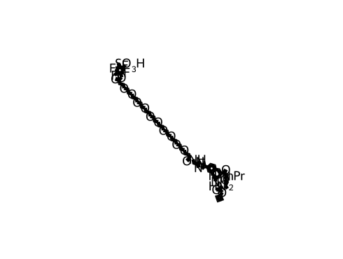 CCCN(OCC(C)NC(=O)OC1CCC1)C(=O)C1=Cc2ccc(-c3cnc(CNC(=O)CCOCCOCCOCCOCCOCCOCCOCCOCCOCCOCCC(=O)Oc4c(F)c(F)c(S(=O)(=O)O)c(F)c4F)nc3)cc2N=C(N)C1